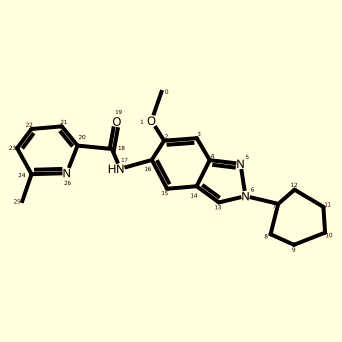 COc1cc2nn(C3CCCCC3)cc2cc1NC(=O)c1cccc(C)n1